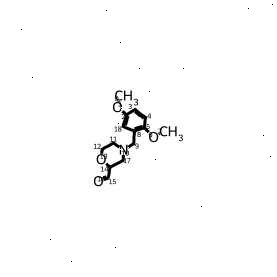 COc1ccc(OC)c(CN2CCOC(C=O)C2)c1